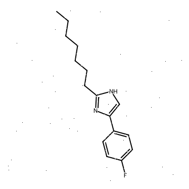 CCCCCC[CH]c1nc(-c2ccc(F)cc2)c[nH]1